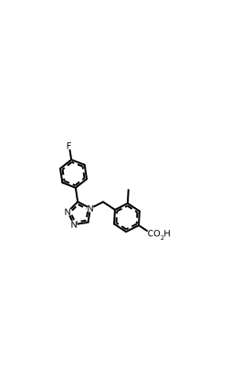 Cc1cc(C(=O)O)ccc1Cn1cnnc1-c1ccc(F)cc1